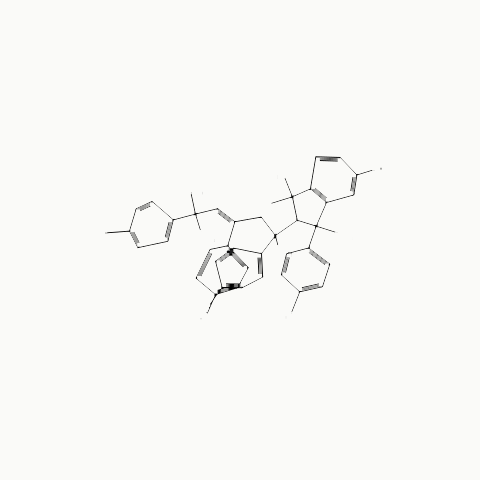 CC(C)(C=C(CC(C)(c1ccc(O)cc1)C1C(C)(C)c2ccc(O)cc2C1(C)c1ccc(O)cc1)c1ccc(O)cc1)c1ccc(O)cc1